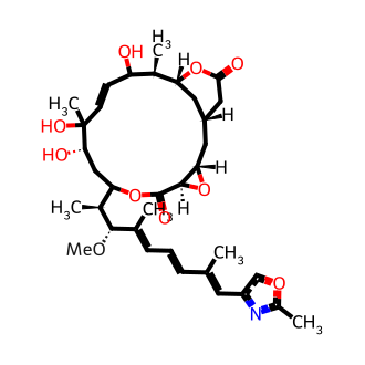 CO[C@@H](/C(C)=C/C=C/C(C)=C/c1coc(C)n1)[C@@H](C)C1C[C@H](O)C(C)(O)/C=C/C(O)[C@@H](C)[C@H]2C[C@H](CC(=O)O2)C[C@@H]2O[C@H]2C(=O)O1